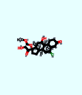 COCO[C@]1(C(=O)CO)CC[C@H]2[C@@H]3C=C(Cl)C4=CC(=O)CC[C@]4(C)[C@H]3C(O)C[C@@]21C